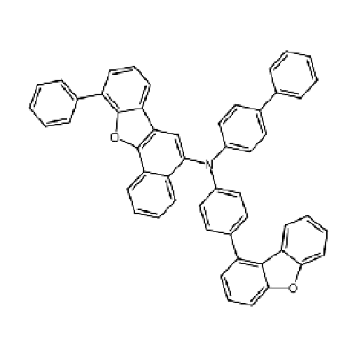 c1ccc(-c2ccc(N(c3ccc(-c4cccc5oc6ccccc6c45)cc3)c3cc4c5cccc(-c6ccccc6)c5oc4c4ccccc34)cc2)cc1